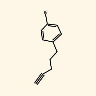 [C]#CCCCc1ccc(Br)cc1